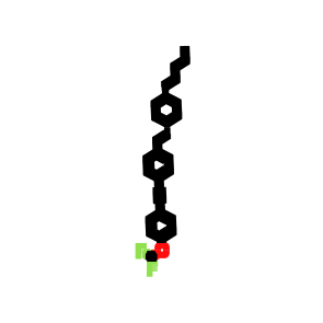 CCCCC[C@H]1CC[C@H](CCc2ccc(C#Cc3ccc(OC(F)F)cc3)cc2)CC1